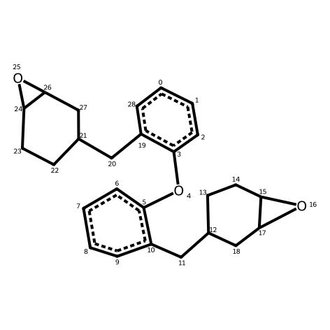 c1ccc(Oc2ccccc2CC2CCC3OC3C2)c(CC2CCC3OC3C2)c1